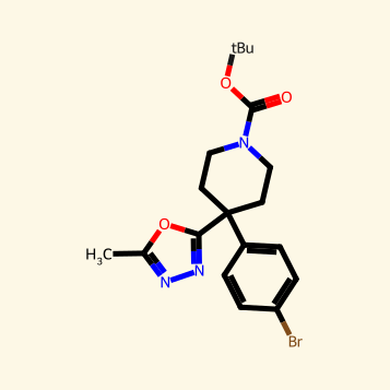 Cc1nnc(C2(c3ccc(Br)cc3)CCN(C(=O)OC(C)(C)C)CC2)o1